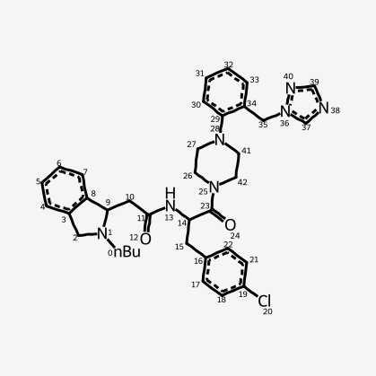 CCCCN1Cc2ccccc2C1CC(=O)NC(Cc1ccc(Cl)cc1)C(=O)N1CCN(c2ccccc2Cn2cncn2)CC1